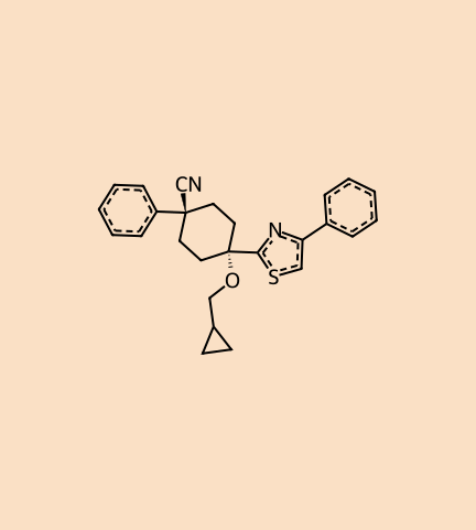 N#C[C@]1(c2ccccc2)CC[C@](OCC2CC2)(c2nc(-c3ccccc3)cs2)CC1